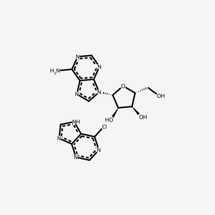 Clc1ncnc2nc[nH]c12.Nc1ncnc2c1ncn2[C@@H]1O[C@H](CO)[C@@H](O)[C@H]1O